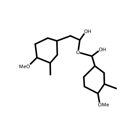 COC1CCC(CC(O)OC(O)C2CCC(OC)C(C)C2)CC1C